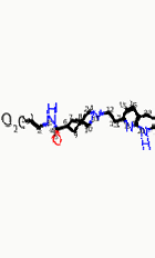 O=C(O)CCNC(=O)C1CC2(C1)CN(CCc1ccc3c(n1)NCCC3)C2